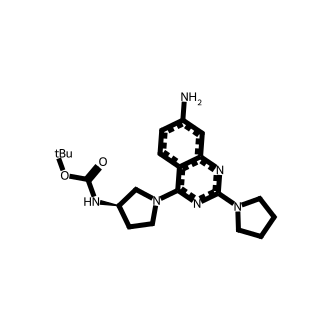 CC(C)(C)OC(=O)N[C@@H]1CCN(c2nc(N3CCCC3)nc3cc(N)ccc23)C1